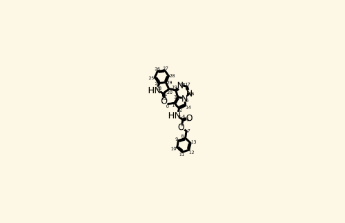 Cc1c(NC(=O)OCc2ccccc2)cn2ncnc(C3C(=O)Nc4ccccc43)c12